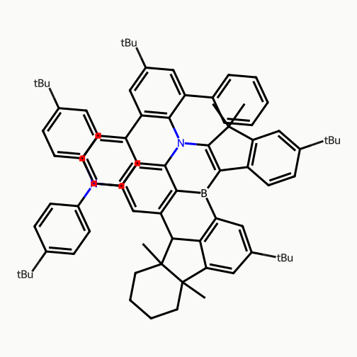 CC(C)(C)c1ccc(N(c2ccc(C(C)(C)C)cc2)c2cc3c4c(c2)N(c2c(-c5ccccc5)cc(C(C)(C)C)cc2-c2ccccc2)C2=C(B4c4cc(C(C)(C)C)cc5c4C3C3(C)CCCCC53C)c3ccc(C(C)(C)C)cc3C2(C)C)cc1